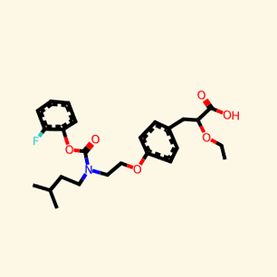 CCOC(Cc1ccc(OCCN(CCC(C)C)C(=O)Oc2ccccc2F)cc1)C(=O)O